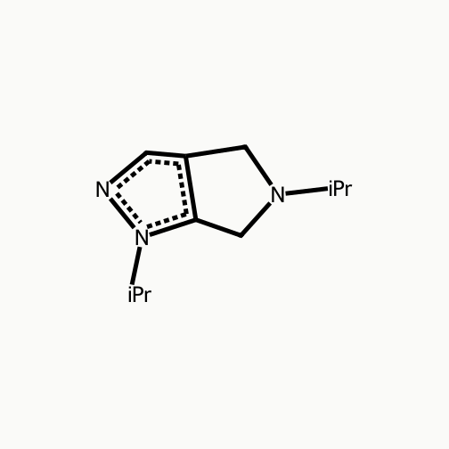 CC(C)N1Cc2cnn(C(C)C)c2C1